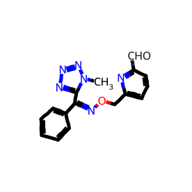 Cn1nnnc1/C(=N\OCc1cccc(C=O)n1)c1ccccc1